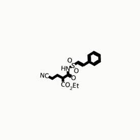 CCOC(=O)C(CCC#N)C(=O)NS(=O)(=O)/C=C/c1ccccc1